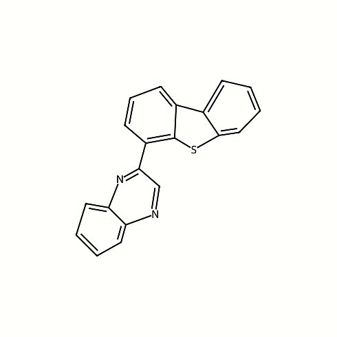 c1ccc2nc(-c3cccc4c3sc3ccccc34)cnc2c1